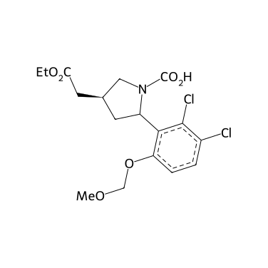 CCOC(=O)C[C@@H]1CC(c2c(OCOC)ccc(Cl)c2Cl)N(C(=O)O)C1